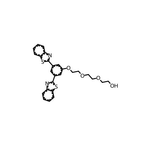 OCCOCCOCCOc1cc(-c2nc3ccccc3s2)cc(-c2nc3ccccc3s2)c1